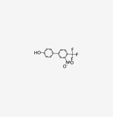 O=[N+]([O-])c1cc(-c2ccc(O)cc2)ccc1C(F)(F)F